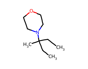 CCC(C)(CC)N1CCOCC1